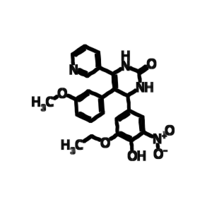 CCOc1cc(C2NC(=O)NC(c3cccnc3)=C2c2cccc(OC)c2)cc([N+](=O)[O-])c1O